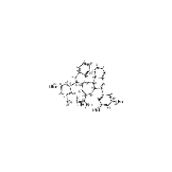 CC(C)(C)c1cc(-c2cc3ccccc3c3c2CN(C(=N)N)Cc2c(-c4cc(C(C)(C)C)cc(C(C)(C)C)c4)cc4ccccc4c2-3)cc(C(C)(C)C)c1